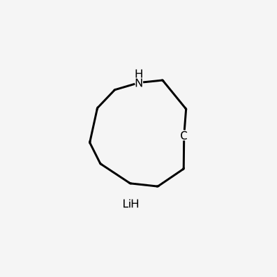 C1CCCCCNCCCC1.[LiH]